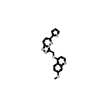 COc1ccc2c(OCc3nnc4ccc(-c5cccs5)nn34)ccnc2c1